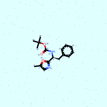 Cc1cnc([C@H](Cc2ccccc2)NC(=O)OC(C)(C)C)o1